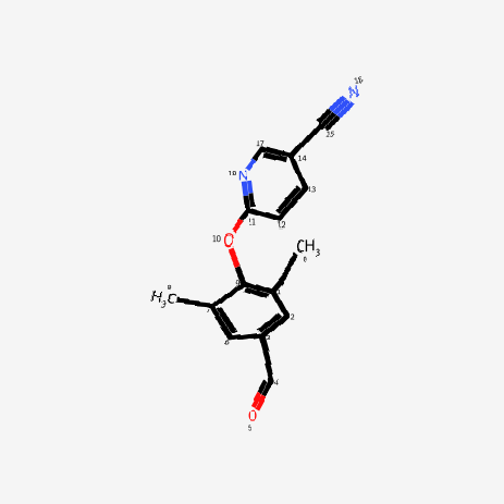 Cc1cc(C=O)cc(C)c1Oc1ccc(C#N)cn1